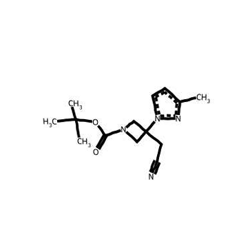 Cc1ccn(C2(CC#N)CN(C(=O)OC(C)(C)C)C2)n1